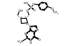 COc1ccc(OP(=O)(O)OC[C@H]2[C@@H](CO)C[C@H]2n2cnc3c(=O)[nH]c(N)nc32)cc1